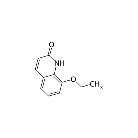 CCOc1[c]ccc2ccc(=O)[nH]c12